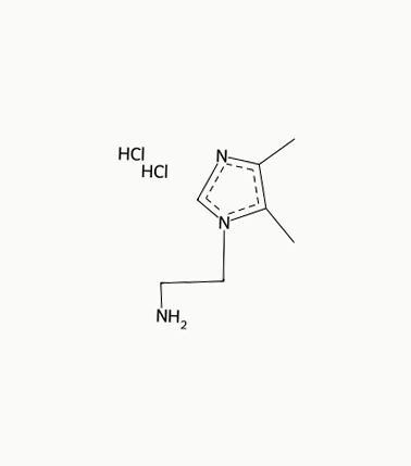 Cc1ncn(CCN)c1C.Cl.Cl